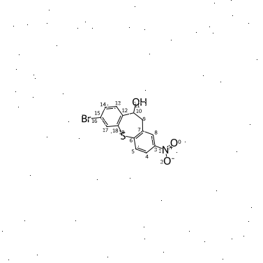 O=[N+]([O-])c1ccc2c(c1)CC(O)c1ccc(Br)cc1S2